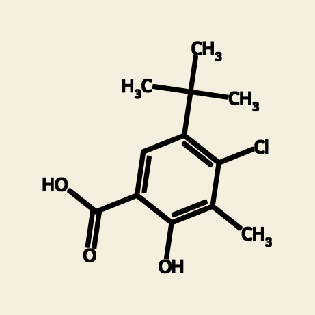 Cc1c(O)c(C(=O)O)cc(C(C)(C)C)c1Cl